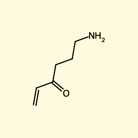 C=CC(=O)CCCN